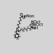 CCCCCCCCCOC(=O)CCCCCCCN(CCCCCCCC(=N)OC(CCCCCCCC)CCCCCCCC)Cc1ccccc1